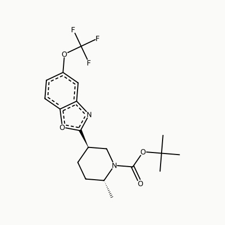 C[C@@H]1CC[C@@H](c2nc3cc(OC(F)(F)F)ccc3o2)CN1C(=O)OC(C)(C)C